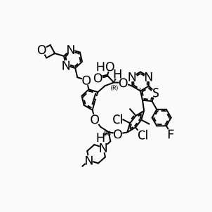 Cc1c(Cl)c2c(Cl)c(C)c1-c1c(-c3ccc(F)cc3)sc3ncnc(c13)O[C@@H](C(=O)O)Cc1cc(ccc1OCc1ccnc(C3COC3)n1)OC[C@@H](CN1CCN(C)CC1)O2